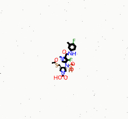 CC(=O)SC[C@@H]1CN(C(=O)O)C[C@@H]1N(c1cn(C)c(C(=O)Nc2ccc(F)c(C)c2)c1F)[SH](=O)=O